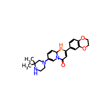 CC1(C)CN(C2=CN3C(=O)C=C(c4ccc5c(c4)OCCO5)PC3C=C2)CCN1